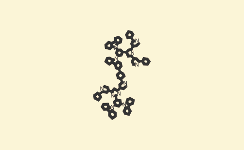 c1ccc(-c2cc(-c3cc(-c4cc(-n5c6ccccc6c6ccccc65)cc(-n5c6ccccc6c6cc(-c7ccc(-c8cc(-c9cc(-c%10ccnc(-c%11ccccc%11)c%10)nc(-c%10cc(-n%11c%12ccccc%12c%12ccccc%12%11)cc(-n%11c%12ccccc%12c%12ccccc%12%11)c%10)n9)ccn8)cc7)ccc65)c4)cc(-c4ccnc(-c5ccccc5)c4)n3)ccn2)cc1